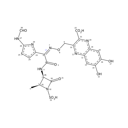 C[C@H]1[C@@H](NC(=O)/C(=N\OCc2nc3cc(O)c(O)cc3nc2C(=O)O)c2csc(NC=O)n2)C(=O)N1S(=O)(=O)O